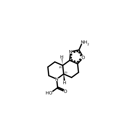 Nc1nc2c(o1)CC[C@H]1[C@H]2CCCN1C(=O)O